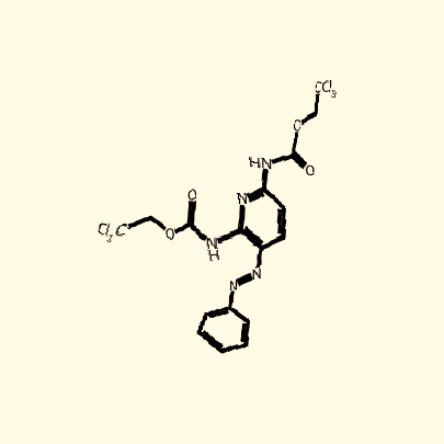 O=C(Nc1ccc(/N=N/c2ccccc2)c(NC(=O)OCC(Cl)(Cl)Cl)n1)OCC(Cl)(Cl)Cl